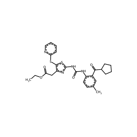 CCOC(=O)Cc1nc(NC(=O)Nc2ccc(C)cc2C(=O)C2CCCC2)sc1Sc1ccccn1